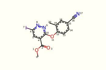 COC(=O)c1cc(I)nnc1Oc1ccc(C#N)cc1C